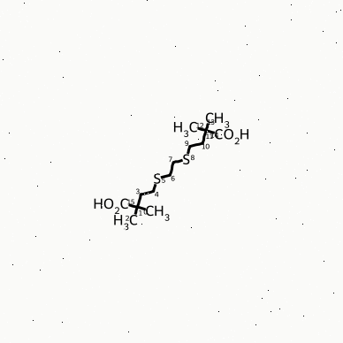 CC(C)(CCSCCSCCC(C)(C)C(=O)O)C(=O)O